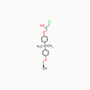 C#CCOc1ccc(C(C)(C)c2ccc(OC[C@H](O)CCl)cc2)cc1